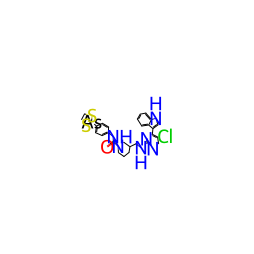 O=C(Nc1ccc([As]2SCCS2)cc1)N1CCCC(CNc2ncc(Cl)c(-c3c[nH]c4ccccc34)n2)C1